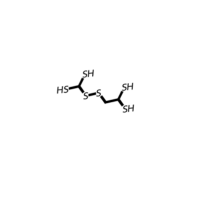 SC(S)CSSC(S)S